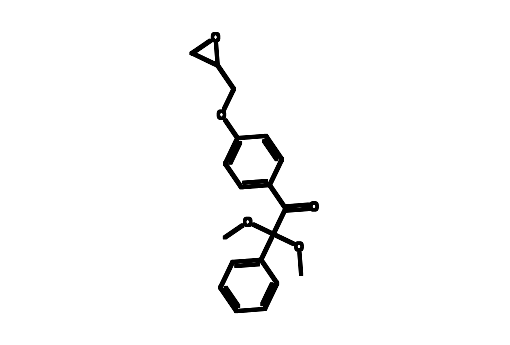 COC(OC)(C(=O)c1ccc(OCC2CO2)cc1)c1ccccc1